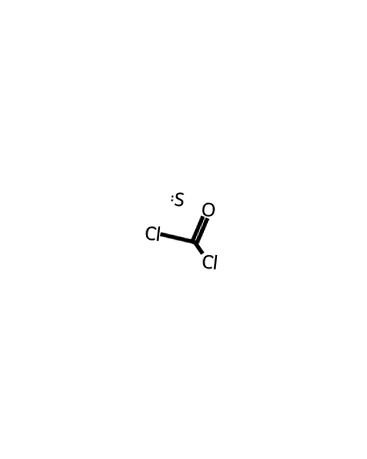 O=C(Cl)Cl.[S]